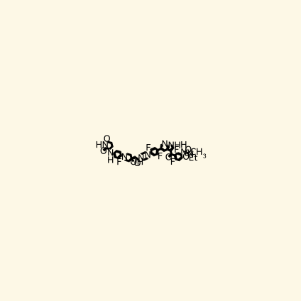 CCN(C)S(=O)(=O)Nc1ccc(F)c(C(=O)c2c[nH]c3ncc(-c4cc(F)c(N5CCN(C(=O)CC6(O)CCN(c7ccc(NC8CCC(=O)NC8=O)cc7F)CC6)CC5)cc4F)cc23)c1F